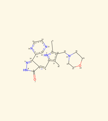 Cc1[nH]c(/C=C2/C(=O)NN=C2c2cnccn2)c(C)c1CN1CCOCC1